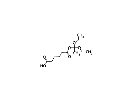 CCOC(C)(OCC)OC(=O)CCCCC(=O)O